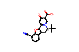 CC(C)(C)[C@@H]1Cc2c(oc3c(C#N)cccc23)-c2cc(=O)c(C(=O)O)cn21